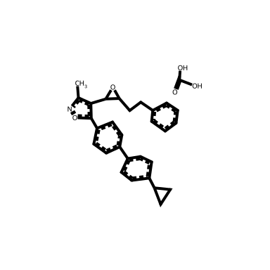 Cc1noc(-c2ccc(-c3ccc(C4CC4)cc3)cc2)c1C1OC1CCc1ccccc1.O=C(O)O